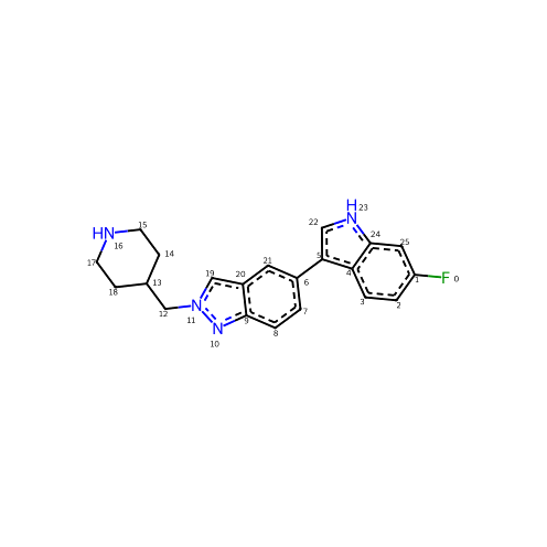 Fc1ccc2c(-c3ccc4nn(CC5CCNCC5)cc4c3)c[nH]c2c1